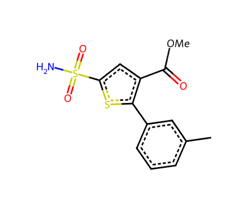 COC(=O)c1cc(S(N)(=O)=O)sc1-c1cccc(C)c1